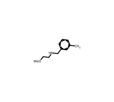 COCCNCc1cccc(C)c1